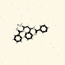 CC(CC(OC(=O)c1ccccc1)c1ccccc1)OC(=O)c1ccccc1